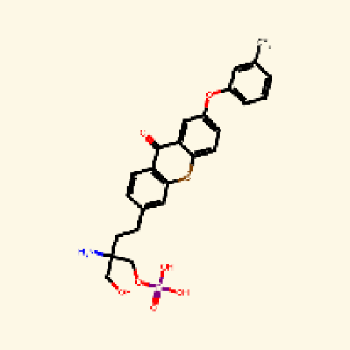 NC(CO)(CCc1ccc2c(=O)c3cc(Oc4cccc(C(F)(F)F)c4)ccc3sc2c1)COP(=O)(O)O